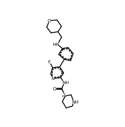 O=C(Nc1cc(-c2cccc(NCC3CCOCC3)c2)c(F)cn1)[C@@H]1CCCNC1